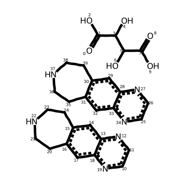 O=C(O)C(O)C(O)C(=O)O.c1cnc2cc3c(cc2n1)CCNCC3.c1cnc2cc3c(cc2n1)CCNCC3